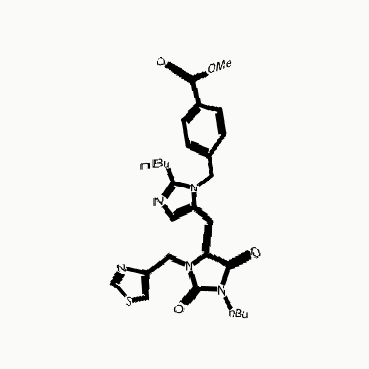 CCCCc1ncc(C=C2C(=O)N(CCCC)C(=O)N2Cc2cscn2)n1Cc1ccc(C(=O)OC)cc1